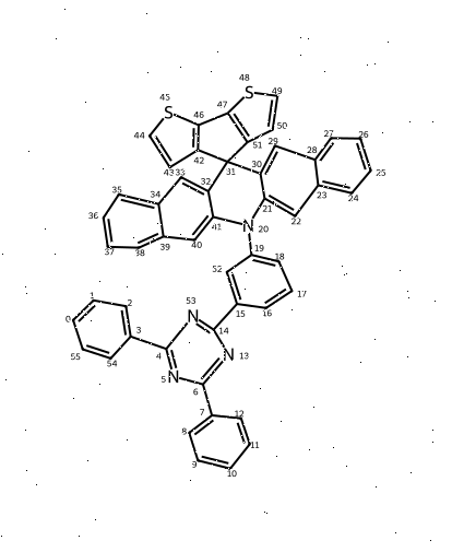 c1ccc(-c2nc(-c3ccccc3)nc(-c3cccc(N4c5cc6ccccc6cc5C5(c6cc7ccccc7cc64)c4ccsc4-c4sccc45)c3)n2)cc1